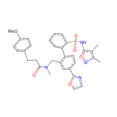 COc1ccc(CCC(=O)N(C)Cc2cc(-c3ncco3)ccc2-c2ccccc2S(=O)(=O)Nc2onc(C)c2C)cc1